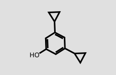 Oc1cc(C2CC2)cc(C2CC2)c1